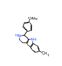 COc1ccc(C2NCCc3c2[nH]c2cc(C)ccc32)cc1